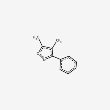 Cc1onc(-c2ccccc2)c1C(F)(F)F